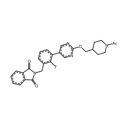 CC(=O)N1CCC(COc2ncc(-c3cccc(CN4C(=O)c5ccccc5C4=O)c3F)cn2)CC1